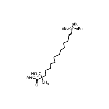 CCC[CH2][Sn]([CH]=CCCCCCCCCCCCC(C)(C(=O)O)C(=O)OC)([CH2]CCC)[CH2]CCC